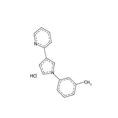 Cc1cccc(-n2ccc(-c3ccccn3)c2)c1.Cl